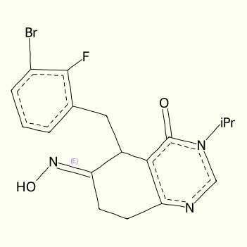 CC(C)n1cnc2c(c1=O)C(Cc1cccc(Br)c1F)/C(=N/O)CC2